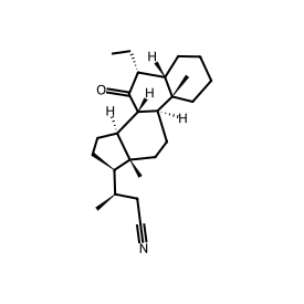 CC[C@H]1C(=O)[C@@H]2[C@H](CC[C@]3(C)[C@@H]([C@H](C)CC#N)CC[C@@H]23)[C@@]2(C)CCCC[C@@H]12